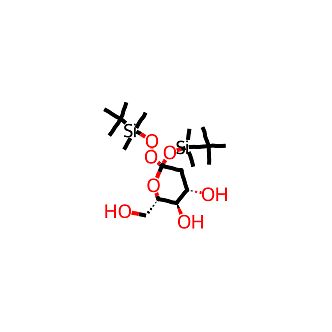 CC(C)(C)[Si](C)(C)OOC1(O[Si](C)(C)C(C)(C)C)C[C@H](O)[C@@H](O)[C@H](CO)O1